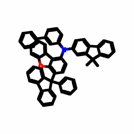 CC1(C)c2ccccc2-c2ccc(N(c3cccc(-c4ccccc4)c3)c3ccc(C4(c5ccccc5)c5ccccc5-c5ccccc54)c4oc5ccccc5c34)cc21